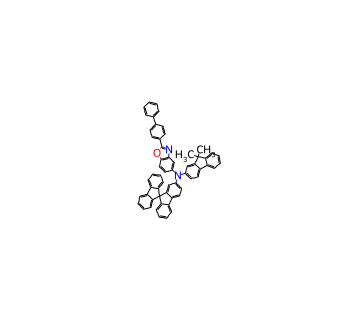 CC1(C)c2ccccc2-c2ccc(N(c3ccc4c(c3)C3(c5ccccc5-c5ccccc53)c3ccccc3-4)c3ccc4oc(-c5ccc(-c6ccccc6)cc5)nc4c3)cc21